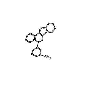 Bc1cccc(-c2cc3c4ccccc4oc3c3ccccc23)c1